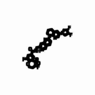 O=C(NCc1cc2nc(N3CCCc4cc(N5C[C@@H](F)[C@H](F)C5)cnc43)ccc2cn1)c1cc(F)c2c(c1)S(=O)(=O)[C@@H](F)CCO2